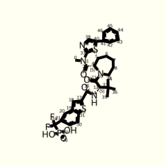 CN(C(=O)[C@@H]1CCCCCN1C(=O)[C@@H](NC(=O)c1cc2cc(C(F)(F)P(=O)(O)O)ccc2s1)C(C)(C)C)c1ncc(-c2ccccc2)s1